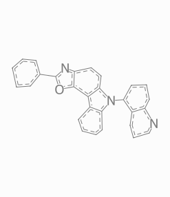 c1ccc(-c2nc3ccc4c(c5ccccc5n4-c4cccc5ncccc45)c3o2)cc1